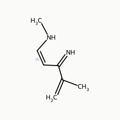 C=C(C)C(=N)/C=C\NC